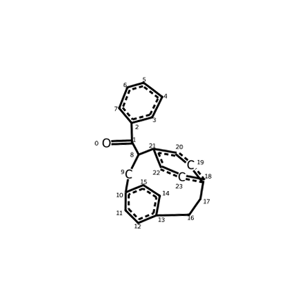 O=C(c1ccccc1)C1Cc2ccc(cc2)CCc2ccc1cc2